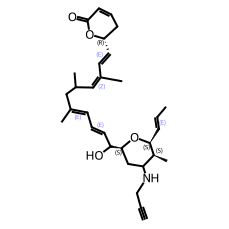 C#CCNC1C[C@@H](C(O)/C=C/C=C(\C)CC(C)/C=C(C)\C=C\[C@H]2CC=CC(=O)O2)O[C@@H](/C=C/C)[C@H]1C